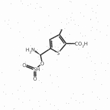 Cc1cc([C@H](N)O[SH](=O)=O)sc1C(=O)O